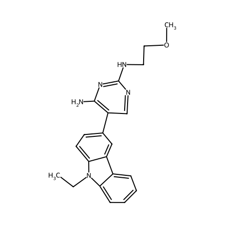 CCn1c2ccccc2c2cc(-c3cnc(NCCOC)nc3N)ccc21